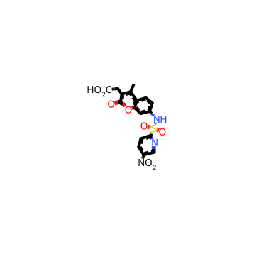 Cc1c(CC(=O)O)c(=O)oc2cc(NS(=O)(=O)c3ccc([N+](=O)[O-])cn3)ccc12